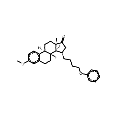 COc1ccc2c(c1)CC[C@H]1[C@@H]3[C@H](CCCCOc4ccccc4)CC(=O)[C@@]3(C)CC[C@H]21